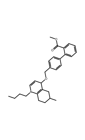 CCCCN1C=CC(OCc2ccc(-c3ccccc3C(=O)OC)cc2)C2=C1CCC(C)C2